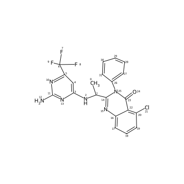 CC(Nc1cc(C(F)(F)F)nc(N)n1)c1nc2cccc(Cl)c2c(=O)n1-c1ccccc1